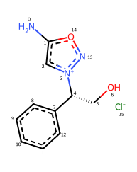 Nc1c[n+]([C@H](CO)c2ccccc2)no1.[Cl-]